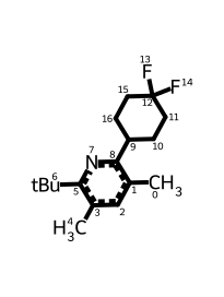 Cc1cc(C)c(C(C)(C)C)nc1C1CCC(F)(F)CC1